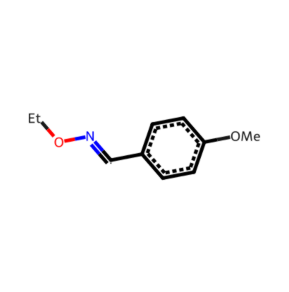 CCO/N=[C]/c1ccc(OC)cc1